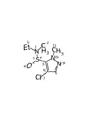 CCN(C)[S+]([O-])c1c(Cl)cnn1C